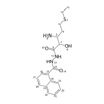 CCSCCC(N)C(O)C(=O)NNC(=O)c1cccc2ccccc12